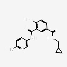 Cc1ccc(C(=O)NCC2CC2)cc1C(=O)Nc1ccc(N)nc1